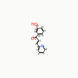 O=C(/C=C/c1ccccn1)c1cccc(O)c1